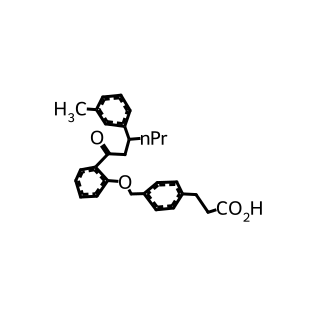 CCCC(CC(=O)c1ccccc1OCc1ccc(CCC(=O)O)cc1)c1cccc(C)c1